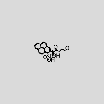 O=CCC[C](=O)[Ir]([OH])[c]1cc2ccc3cccc4ccc(c1S(=O)(=O)O)c2c34